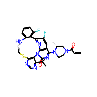 C=CC(=O)N1CCN(c2nc(=O)n3c4nc(c(F)cc24)-c2c(F)cccc2NCCSc2ncnc(C(C)C)c2-3)[C@H](C)C1